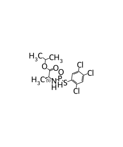 CC(C)OC(=O)[C@H](C)N[PH](=O)Sc1cc(Cl)c(Cl)cc1Cl